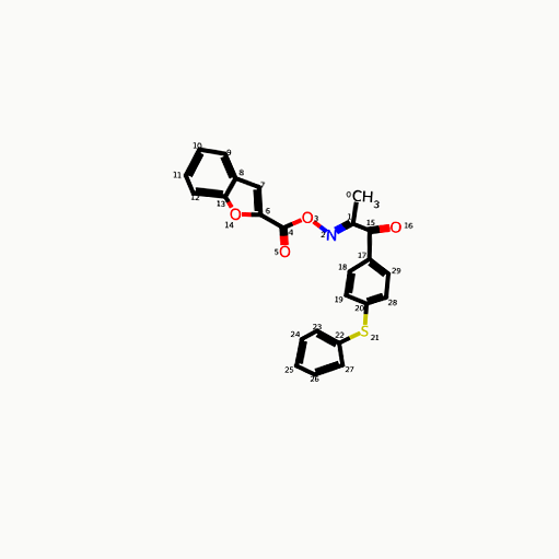 C/C(=N\OC(=O)c1cc2ccccc2o1)C(=O)c1ccc(Sc2ccccc2)cc1